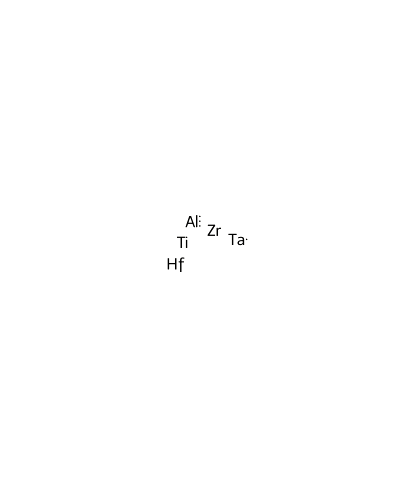 [Al].[Hf].[Ta].[Ti].[Zr]